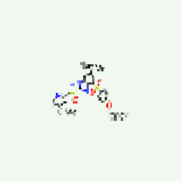 COc1cc(S(=O)(=O)c2ccc(OCC(=O)[O-])cc2)c2nc([S+]([O-])Cc3ncc(C)c(OC)c3C)[nH]c2c1.[Na+]